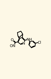 O=NC(=O)c1cnc(Nc2cccc(Cl)c2)c2c1C1CCC2C1